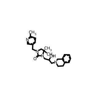 Cc1ccc(CN2CC(C)(C)N(CC(O)CN3CCc4ccccc4C3)C2=O)cn1